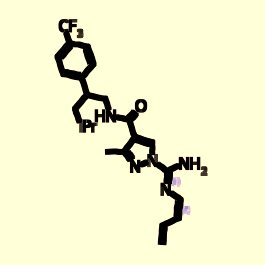 C=C/C=C\N=C(/N)n1cc(C(=O)NCC(CC(C)C)c2ccc(C(F)(F)F)cc2)c(C)n1